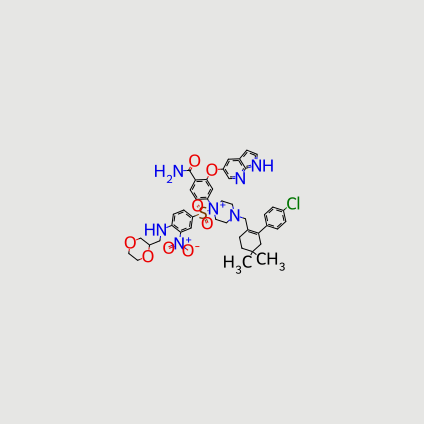 CC1(C)CCC(CN2CC[N+](c3ccc(C(N)=O)c(Oc4cnc5[nH]ccc5c4)c3)(S(=O)(=O)c3ccc(NCC4COCCO4)c([N+](=O)[O-])c3)CC2)=C(c2ccc(Cl)cc2)C1